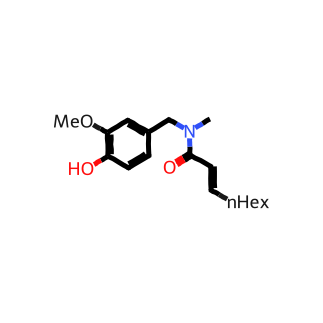 CCCCCCC=CC(=O)N(C)Cc1ccc(O)c(OC)c1